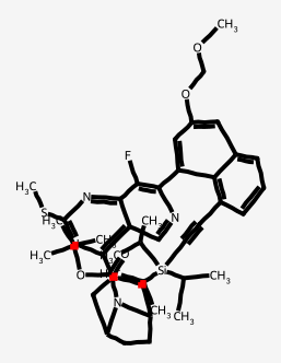 COCOc1cc(-c2ncc3c(N4CC5CCC(C4)N5C(=O)OC(C)(C)C)nc(SC)nc3c2F)c2c(C#C[Si](C(C)C)(C(C)C)C(C)C)cccc2c1